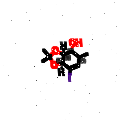 C[C@H]1C=C(I)[C@H]2OC(C)(C)O[C@H]2[C@@H]1O